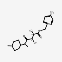 CC1CCC(N(C)C(=O)[C@H](O)[C@@H](O)C(=O)NCc2ccc(C(F)(F)F)cc2)CC1